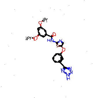 CC(C)Oc1cc(OC(C)C)cc(C(=O)Nc2ncc(Oc3cccc(-c4nn[nH]n4)c3)s2)c1